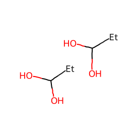 CCC(O)O.CCC(O)O